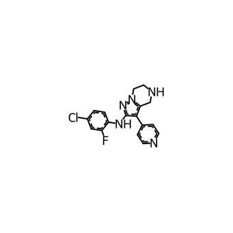 Fc1cc(Cl)ccc1Nc1nn2c(c1-c1ccncc1)CNCC2